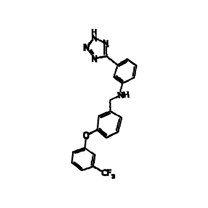 FC(F)(F)c1cccc(Oc2cccc(CNc3cccc(-c4nn[nH]n4)c3)c2)c1